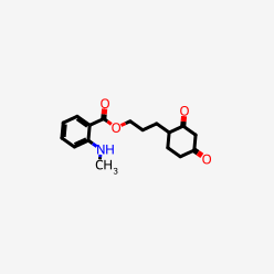 CNc1ccccc1C(=O)OCCCC1CCC(=O)CC1=O